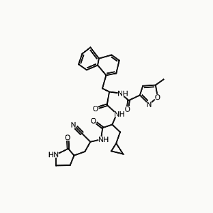 Cc1cc(C(=O)NC(Cc2cccc3ccccc23)C(=O)NC(CC2CC2)C(=O)NC(C#N)CC2CCNC2=O)no1